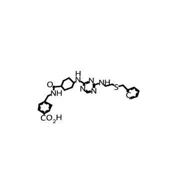 O=C(O)c1ccc(CNC(=O)C2CCC(Nc3ncnc(NCCSCc4ccccc4)n3)CC2)cc1